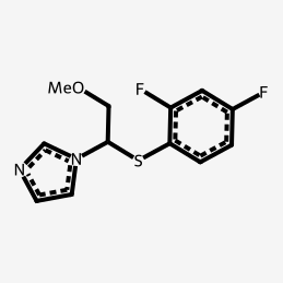 COCC(Sc1ccc(F)cc1F)n1ccnc1